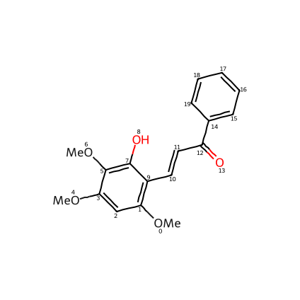 COc1cc(OC)c(OC)c(O)c1/C=C/C(=O)c1ccccc1